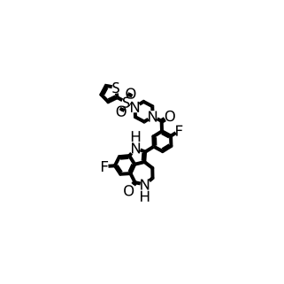 O=C1NCCc2c(-c3ccc(F)c(C(=O)N4CCN(S(=O)(=O)c5cccs5)CC4)c3)[nH]c3cc(F)cc1c23